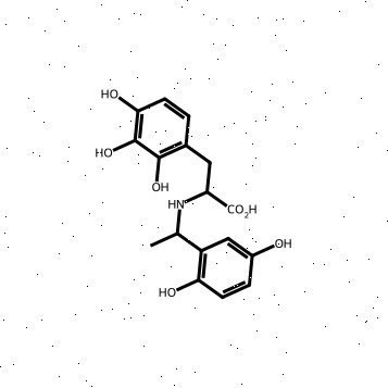 CC(NC(Cc1ccc(O)c(O)c1O)C(=O)O)c1cc(O)ccc1O